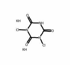 O=c1[nH]c(=O)n(Cl)c(=O)n1Cl.[KH].[KH]